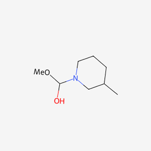 COC(O)N1CCCC(C)C1